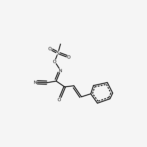 CS(=O)(=O)ON=C(C#N)C(=O)C=Cc1ccccc1